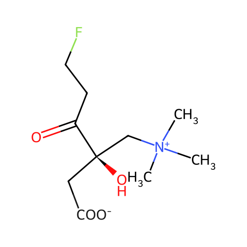 C[N+](C)(C)C[C@](O)(CC(=O)[O-])C(=O)CCF